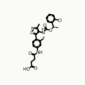 Cc1noc(-c2ccc(NC(=O)CCC(=O)O)cc2F)c1NC(=O)O[C@H](C)c1ccccc1Cl